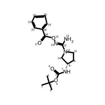 CC(C)(C)OC(=O)N[C@H]1CCN(/C(N)=N/OC(=O)c2ccccc2)C1